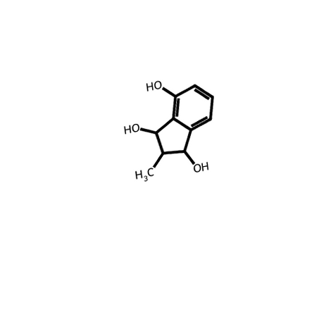 CC1C(O)c2cccc(O)c2C1O